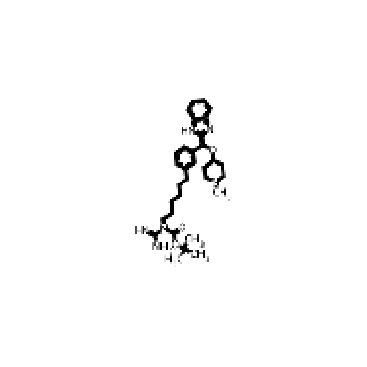 CN1CCC(OC(c2cccc(CCCCCCN(C(=N)N)C(=O)OC(C)(C)C)c2)c2nc3ccccc3[nH]2)CC1